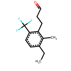 CCc1ccc(C(F)(F)F)c(CCC=O)c1C